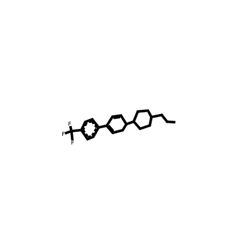 CCCC1CCC(C2C=CC(c3ccc(C(F)(F)F)cc3)=CC2)CC1